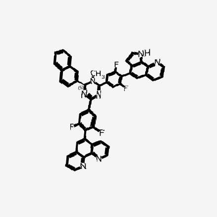 CN1C(c2cc(F)c(-c3cc4cccnc4c4[nH]ccc34)c(F)c2)=NC(c2cc(F)c(-c3cc4cccnc4c4ncccc34)c(F)c2)=N[C@H]1c1ccc2ccccc2c1